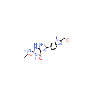 CCOC1(N)NC(=O)c2nc(-c3ccc4nc(CO)n(C)c4c3)cnc2N1